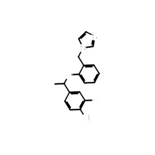 CC(Oc1ccccc1Cn1ccnc1)c1ccc(Cl)c(Cl)c1